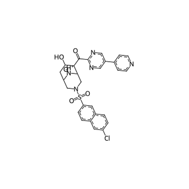 O=C(c1ncc(-c2ccncc2)cn1)C1C(O)CC2CN(S(=O)(=O)c3ccc4cc(Cl)ccc4c3)CC1[NH+]2[O-]